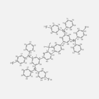 CC1(C)c2cc(-c3cc(N(c4ccccc4)c4ccc(F)cc4)cc(N(c4ccccc4)c4ccc(F)cc4)c3)ccc2-c2ccc(-c3cc(N(c4ccccc4)c4ccc(F)cc4)cc(N(c4ccccc4)c4ccc(F)cc4)c3)cc21